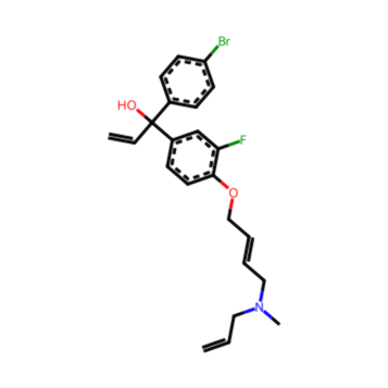 C=CCN(C)CC=CCOc1ccc(C(O)(C=C)c2ccc(Br)cc2)cc1F